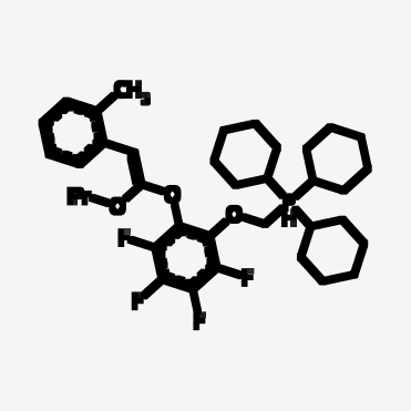 Cc1ccccc1/C=C(/Oc1c(F)c(F)c(F)c(F)c1OC[PH](C1CCCCC1)(C1CCCCC1)C1CCCCC1)OC(C)C